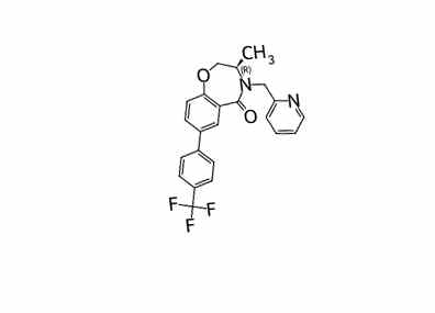 C[C@@H]1COc2ccc(-c3ccc(C(F)(F)F)cc3)cc2C(=O)N1Cc1ccccn1